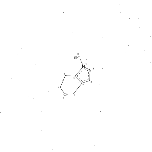 CCCn1ncc2c1CCOC2